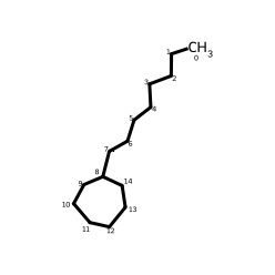 CCCCCCC[CH]C1CCCCCC1